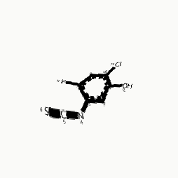 Oc1cc(N=C=S)c(F)cc1Cl